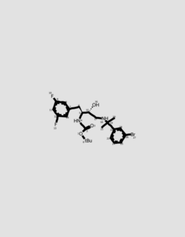 CC(C)(C)OC(=O)N[C@@H](Cc1cc(F)cc(F)c1)[C@H](O)CNC(C)(C)c1cccc(Br)c1